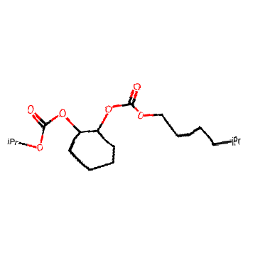 CC(C)CCCCOC(=O)OC1CCCCC1OC(=O)OC(C)C